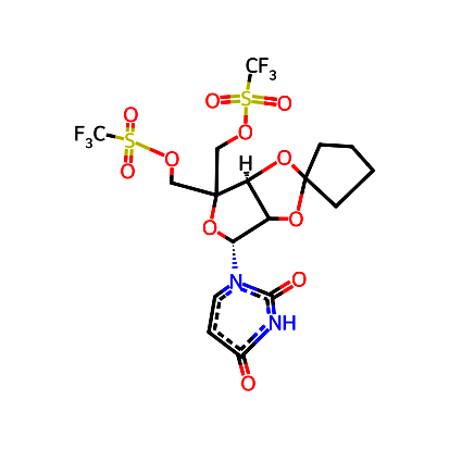 O=c1ccn([C@@H]2OC(COS(=O)(=O)C(F)(F)F)(COS(=O)(=O)C(F)(F)F)[C@H]3OC4(CCCC4)OC23)c(=O)[nH]1